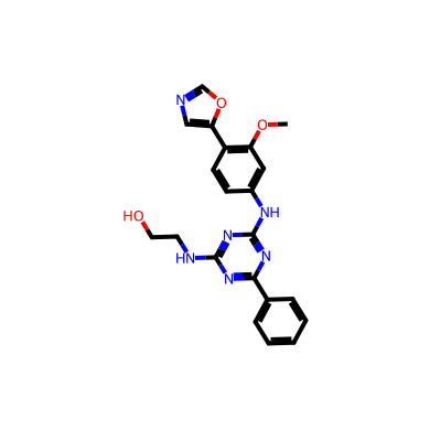 COc1cc(Nc2nc(NCCO)nc(-c3ccccc3)n2)ccc1-c1cnco1